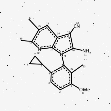 COc1ccc(C2CC2)c(-n2c(N)c(C#N)c3cc(C)c(C)nc32)c1C